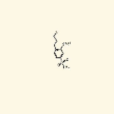 NS(=O)(=O)c1ccc(CCC[O])c(S(=O)(=O)O)c1